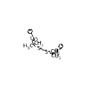 CC(C)(CCSCCCSCCC(C)(C)C(=O)OCc1ccccc1)CC(=O)OCc1ccccc1